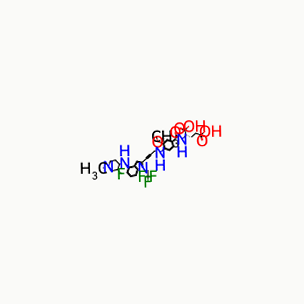 COc1cc(C(=O)N[C@@H](CCC(=O)O)C(=O)O)ccc1NCC#Cc1cc2c(N[C@@H]3CCN(C)C[C@@H]3F)cccc2n1CC(F)(F)F